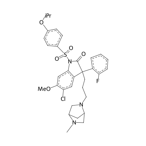 COc1cc2c(cc1Cl)C(CCCN1CC3CC1CN3C)(c1ccccc1F)C(=O)N2S(=O)(=O)c1ccc(OC(C)C)cc1